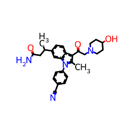 Cc1c(C(=O)CN2CCC(O)CC2)c2ccc(C(C)CC(N)=O)cc2n1-c1ccc(C#N)cc1